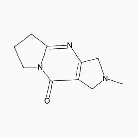 CN1Cc2nc3n(c(=O)c2C1)CCC3